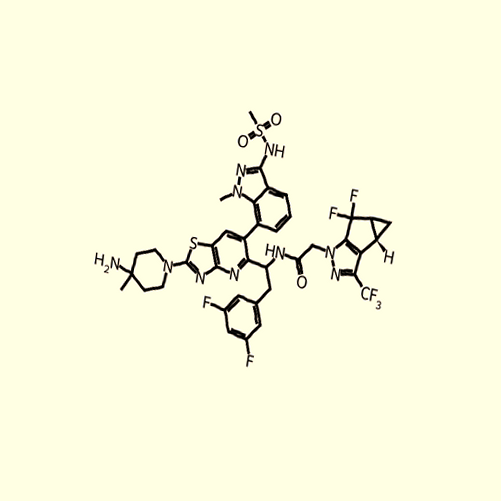 Cn1nc(NS(C)(=O)=O)c2cccc(-c3cc4sc(N5CCC(C)(N)CC5)nc4nc3C(Cc3cc(F)cc(F)c3)NC(=O)Cn3nc(C(F)(F)F)c4c3C(F)(F)C3C[C@H]43)c21